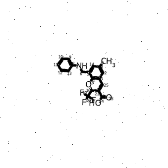 Cc1cc2c(c(CNc3ccccc3)c1)OC(C(F)(F)F)C(C(=O)O)=C2